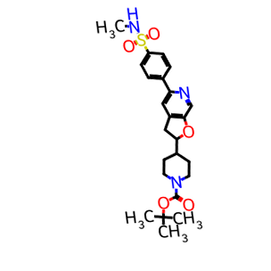 CNS(=O)(=O)c1ccc(-c2cc3c(cn2)OC(C2CCN(C(=O)OC(C)(C)C)CC2)C3)cc1